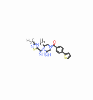 Cc1nsc(C(=N)N2C(=N)CN(C(=O)c3ccc(-c4cccs4)cc3)CC2C)n1